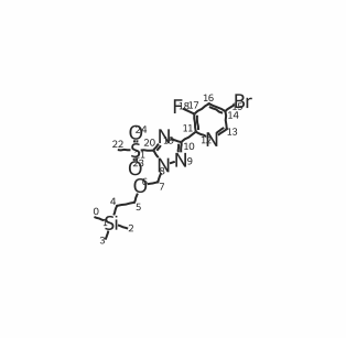 C[Si](C)(C)CCOCn1nc(-c2ncc(Br)cc2F)nc1S(C)(=O)=O